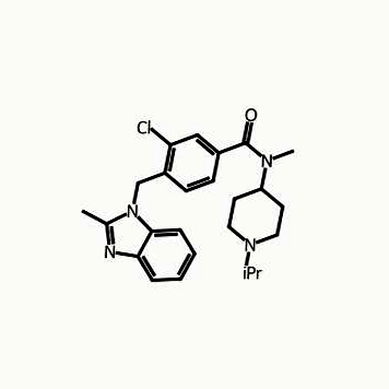 Cc1nc2ccccc2n1Cc1ccc(C(=O)N(C)C2CCN(C(C)C)CC2)cc1Cl